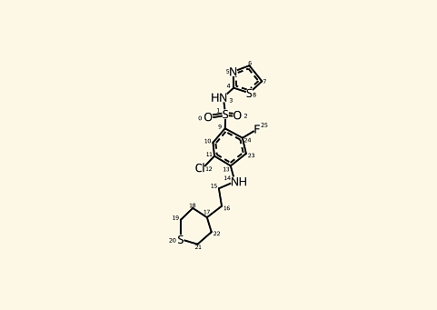 O=S(=O)(Nc1nccs1)c1cc(Cl)c(NCCC2CCSCC2)cc1F